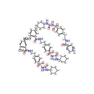 COc1ccc(Cl)cc1C(=O)NCCc1ccc(S(=O)(=O)NC(=O)NC2CCCCC2)cc1.COc1ccc(Cl)cc1C(=O)NCCc1ccc(S(=O)(=O)NC(=O)NC2CCCCC2)cc1.Cc1cnc(C(=O)NCCc2ccc(S(=O)(=O)NC(=O)NC3CCCCC3)cc2)cn1